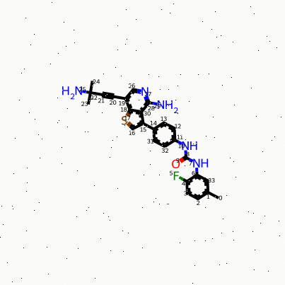 Cc1ccc(F)c(NC(=O)Nc2ccc(-c3csc4c(C#CC(C)(C)N)cnc(N)c34)cc2)c1